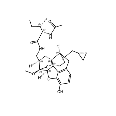 CC[C@H](C)[C@H](NC(C)=O)C(=O)NC[C@H]1C[C@@]23CC[C@]1(OC)[C@@H]1Oc4c(O)ccc5c4[C@@]12CCN(CC1CC1)[C@@H]3C5